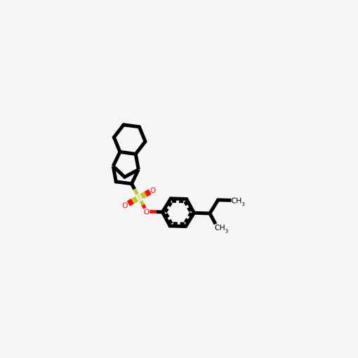 CCC(C)c1ccc(OS(=O)(=O)C2CC3CC2C2CCCCC32)cc1